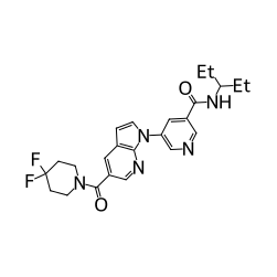 CCC(CC)NC(=O)c1cncc(-n2ccc3cc(C(=O)N4CCC(F)(F)CC4)cnc32)c1